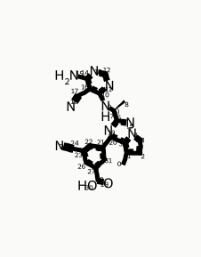 Cc1ccn2nc([C@H](C)Nc3ncnc(N)c3C#N)nc(-c3cc(C#N)cc(C(=O)O)c3)c12